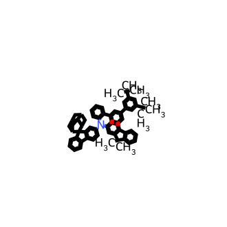 CC(C)(C)c1cc(-c2cccc(-c3ccccc3N(c3ccc4c(c3)C(C)(C)c3ccccc3-4)c3ccc4c(c3)C3(c5ccccc5-4)C4CC5CC(C4)CC3C5)c2)cc(C(C)(C)C)c1